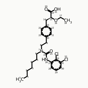 CCCCCCCN(CCc1ccc(C[C@H](OCC)C(=O)O)cc1)C(=O)Nc1cccc(Cl)c1Cl